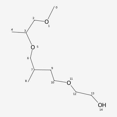 COCC(C)OCC(C)CCOCCO